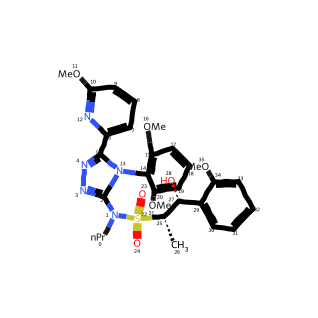 CCCN(c1nnc(-c2cccc(OC)n2)n1-c1c(OC)cccc1OC)S(=O)(=O)[C@@H](C)[C@H](O)c1ccccc1OC